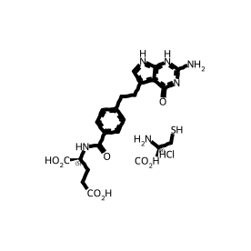 Cl.N[C@@H](CS)C(=O)O.Nc1nc(=O)c2c(CCc3ccc(C(=O)N[C@@H](CCC(=O)O)C(=O)O)cc3)c[nH]c2[nH]1